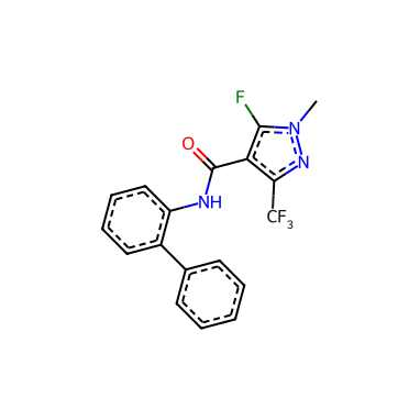 Cn1nc(C(F)(F)F)c(C(=O)Nc2ccccc2-c2ccccc2)c1F